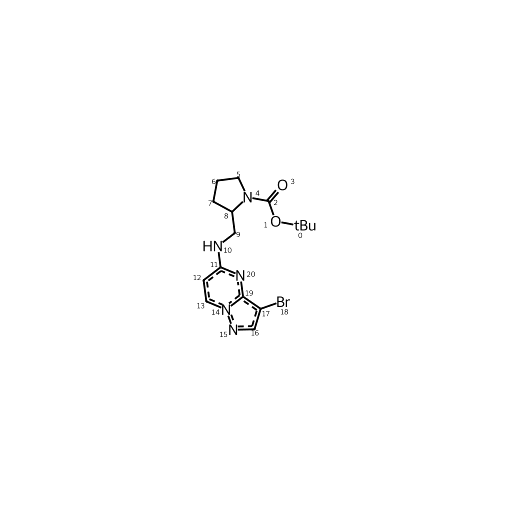 CC(C)(C)OC(=O)N1CCCC1CNc1ccn2ncc(Br)c2n1